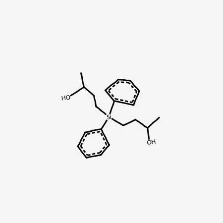 CC(O)CC[Si](CCC(C)O)(c1ccccc1)c1ccccc1